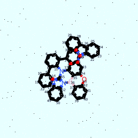 c1ccc(-c2cccc(-c3ccccc3)c2N2c3cc(-n4c5ccccc5c5ccccc54)cc4c3B(c3ccccc3O4)n3c2nc2ccccc23)cc1